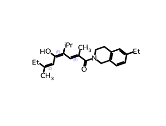 CC\C(C)=C/C(O)=C(\C=C(/C)C(=O)N1CCc2cc(CC)ccc2C1)C(C)C